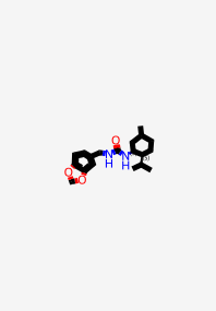 CC1CC[C@@H](C(C)C)[C@@H](NC(=O)NCc2ccc3c(c2)OCO3)C1